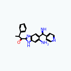 CC(C(=O)c1nc2cc(C(=N)c3ccncc3)c(N)cc2[nH]1)c1ccccc1